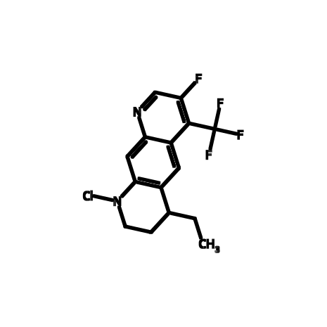 CCC1CCN(Cl)c2cc3ncc(F)c(C(F)(F)F)c3cc21